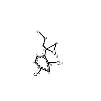 CCCC1(c2ccc(Cl)cc2Cl)CO1